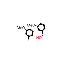 COc1cccc(C)c1.COc1cccc(CO)c1